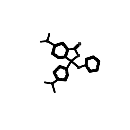 CN(C)c1ccc(C2(Oc3ccccc3)OC(=O)c3cc(N(C)C)ccc32)cc1